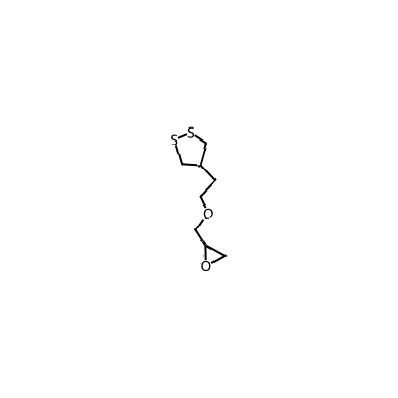 C(CC1CSSC1)OCC1CO1